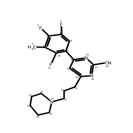 Cc1c(F)c(F)cc(-c2cc(CCCN3CCCCC3)nc(C#N)n2)c1F